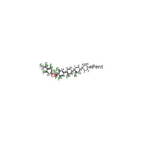 CCCCCC1CCC(c2ccc(-c3ccc(-c4cc(F)c(C(F)(F)Oc5cc(F)c(/C(F)=C/F)c(F)c5)c(F)c4)c(F)c3)c(F)c2)CC1